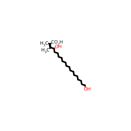 CC(C(=O)O)=C(C)C(O)CCCCCCCCCCCCCCCCO